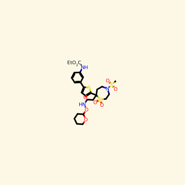 CCOC(=O)Nc1cccc(-c2ccc(C3(CC(=O)NOC4CCCCO4)CCN(S(C)(=O)=O)CCS3(=O)=O)s2)c1